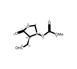 COC(=O)ON1COC(=O)[C@@H]1CC=O